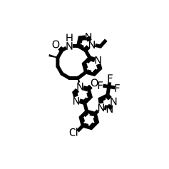 CCn1ncc2c1-c1cc(ccn1)[C@@H](n1cnc(-c3cc(Cl)ccc3-n3cc(C(F)(F)F)nn3)cc1=O)CCC[C@@H](C)C(=O)N2